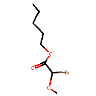 CCCCCOC(=O)C(Br)OC